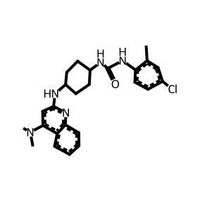 Cc1cc(Cl)ccc1NC(=O)NC1CCC(Nc2cc(N(C)C)c3ccccc3n2)CC1